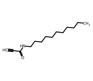 C#CC(=O)NCCCCCCCCCCC